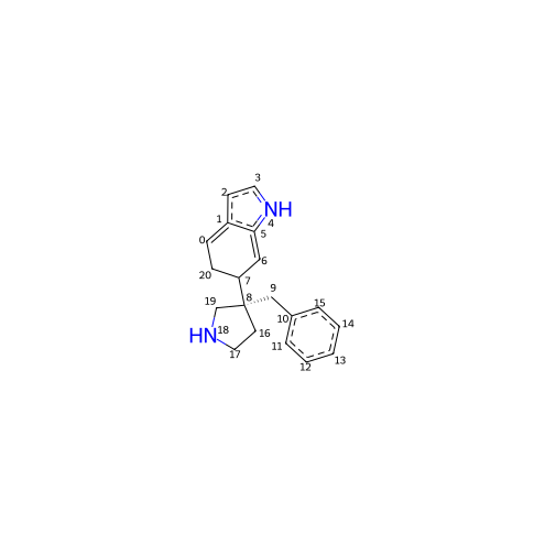 C1=c2cc[nH]c2=CC([C@@]2(Cc3ccccc3)CCNC2)C1